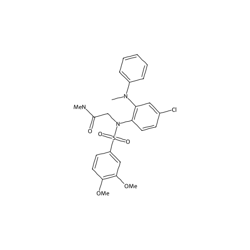 CNC(=O)CN(c1ccc(Cl)cc1N(C)c1ccccc1)S(=O)(=O)c1ccc(OC)c(OC)c1